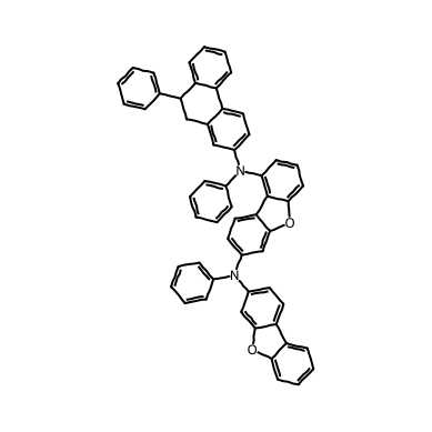 c1ccc(C2Cc3cc(N(c4ccccc4)c4cccc5oc6cc(N(c7ccccc7)c7ccc8c(c7)oc7ccccc78)ccc6c45)ccc3-c3ccccc32)cc1